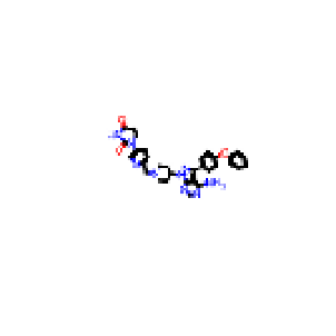 Nc1ncnc2c1c(-c1ccc(Oc3ccccc3)cc1)nn2C1CCN(Cc2ccc(N3CCC(=O)NC3=O)cn2)CC1